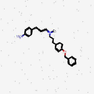 CCN(CCCc1ccc(N)cc1)CCCc1ccc(OCc2ccccc2)cc1